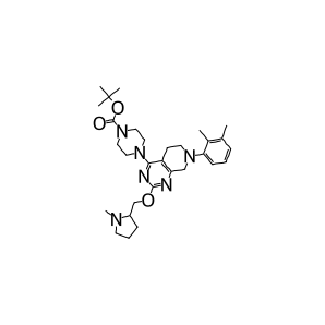 Cc1cccc(N2CCc3c(nc(OCC4CCCN4C)nc3N3CCN(C(=O)OC(C)(C)C)CC3)C2)c1C